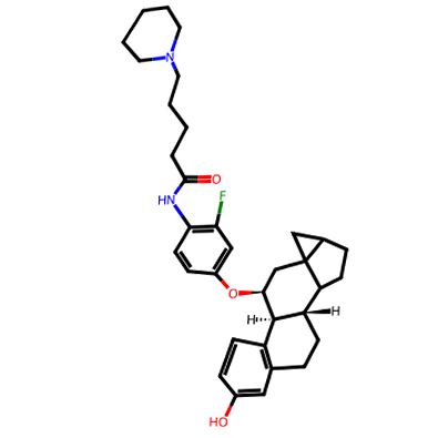 O=C(CCCCN1CCCCC1)Nc1ccc(O[C@H]2CC34CC3CCC4[C@@H]3CCc4cc(O)ccc4[C@@H]23)cc1F